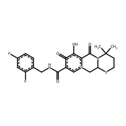 CC1(C)CCSC2Cn3cc(C(=O)NCc4ccc(F)cc4F)c(=O)c(O)c3C(=O)N21